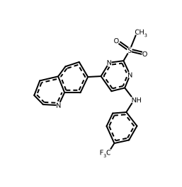 CS(=O)(=O)c1nc(Nc2ccc(C(F)(F)F)cc2)cc(-c2ccc3cccnc3c2)n1